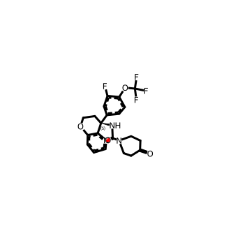 O=C1CCN(C(=O)N[C@]2(c3ccc(OC(F)(F)F)c(F)c3)CCOc3cccnc32)CC1